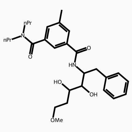 CCCN(CCC)C(=O)c1cc(C)cc(C(=O)NC(Cc2ccccc2)C(O)C(O)CCOC)c1